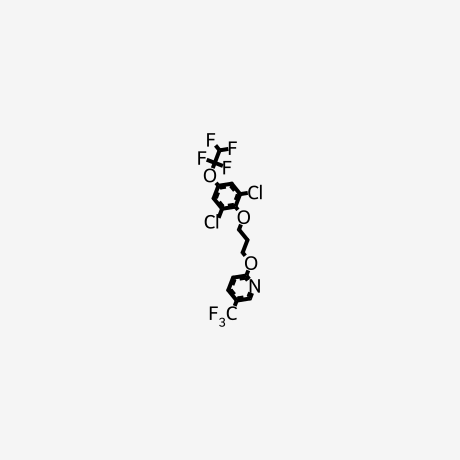 FC(F)C(F)(F)Oc1cc(Cl)c(OCCCOc2ccc(C(F)(F)F)cn2)c(Cl)c1